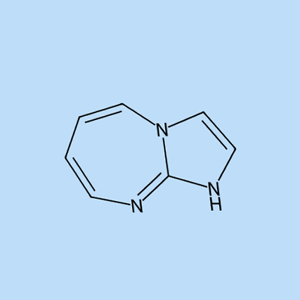 C1=CN=C2NC=CN2C=C1